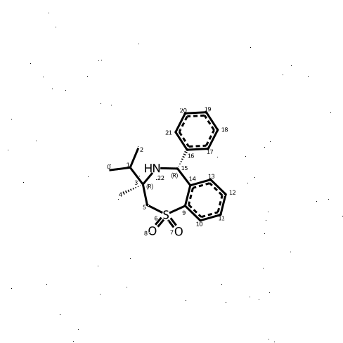 CC(C)[C@]1(C)CS(=O)(=O)c2ccccc2[C@@H](c2ccccc2)N1